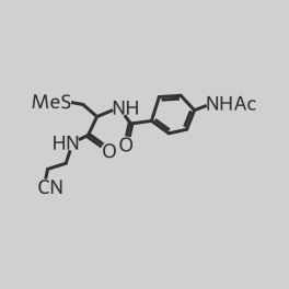 CSCC(NC(=O)c1ccc(NC(C)=O)cc1)C(=O)NCCC#N